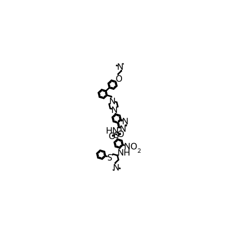 CN(C)CCOc1ccc(-c2ccccc2CN2CCN(c3ccc4c(NS(=O)(=O)c5ccc(NC(CCN(C)C)CSc6ccccc6)c([N+](=O)[O-])c5)ncnc4c3)CC2)cc1